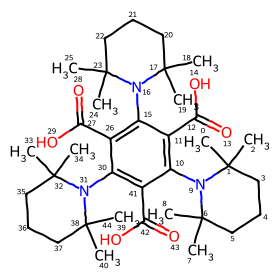 CC1(C)CCCC(C)(C)N1c1c(C(=O)O)c(N2C(C)(C)CCCC2(C)C)c(C(=O)O)c(N2C(C)(C)CCCC2(C)C)c1C(=O)O